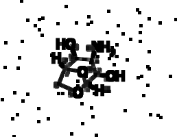 N[C@H]1[C@@H](O)[C@@H]2OC[C@@H](O2)[C@H]1O